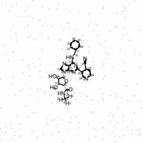 [2H]C([2H])([2H])NC(=O)[C@H]1O[C@@H](n2cnc3c(NCc4ccccc4)nc(-c4cnccc4C#N)nc32)[C@H](O)[C@@H]1O